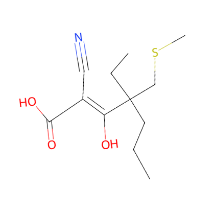 CCCC(CC)(CSC)C(O)=C(C#N)C(=O)O